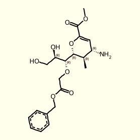 COC(=O)C1=C[C@H](N)[C@@H](C)[C@H]([C@H](OCC(=O)OCc2ccccc2)[C@H](O)CO)O1